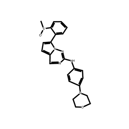 C[S+]([O-])c1ccccc1-c1ccc2cnc(Nc3ccc(N4CCOCC4)cc3)nn12